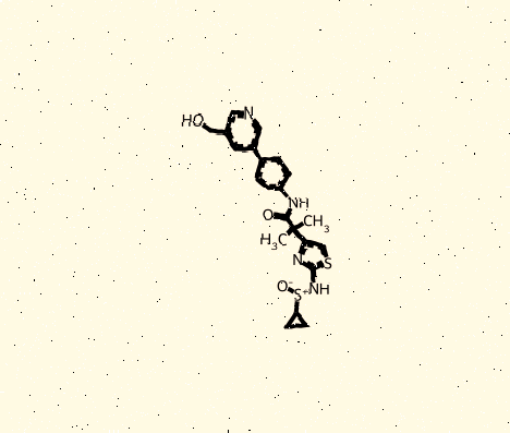 CC(C)(C(=O)Nc1ccc(-c2cncc(CO)c2)cc1)c1csc(N[S+]([O-])C2CC2)n1